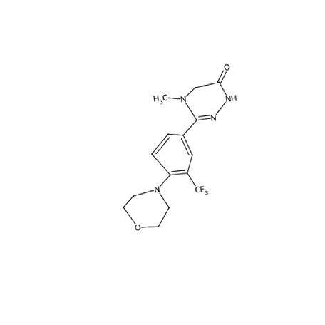 CN1CC(=O)NN=C1c1ccc(N2CCOCC2)c(C(F)(F)F)c1